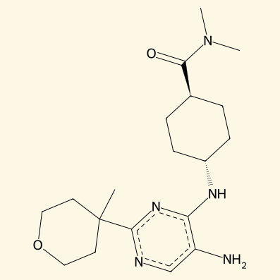 CN(C)C(=O)[C@H]1CC[C@H](Nc2nc(C3(C)CCOCC3)ncc2N)CC1